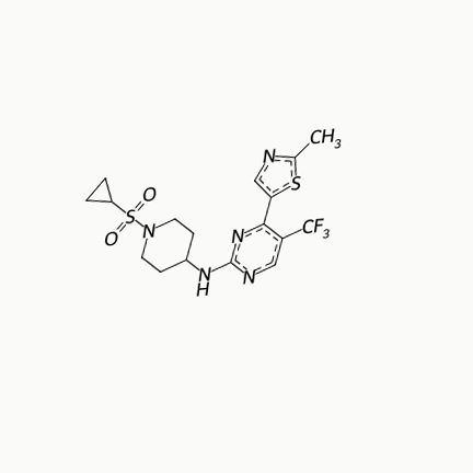 Cc1ncc(-c2nc(NC3CCN(S(=O)(=O)C4CC4)CC3)ncc2C(F)(F)F)s1